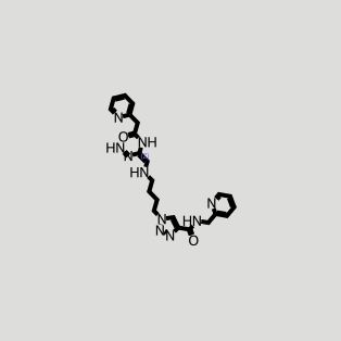 N=N/C(=C\NCCCCn1cc(C(=O)NCc2ccccn2)nn1)NC(=O)Cc1ccccn1